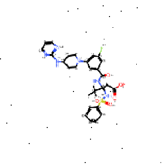 CC(C)(C)C(CC(=O)O)(NC(=O)c1cc(F)cc(N2CCC(Nc3ncccn3)CC2)c1)NS(=O)(=O)c1ccccc1